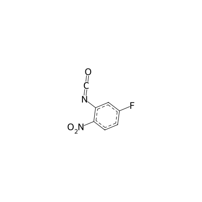 O=C=Nc1cc(F)ccc1[N+](=O)[O-]